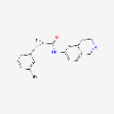 CC(C)c1cccc(C2CC2C(=O)Nc2ccc3cnccc3c2)c1